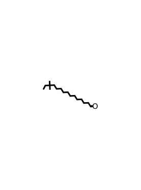 CCC(C)(C)CCCCCCCCCCCC=O